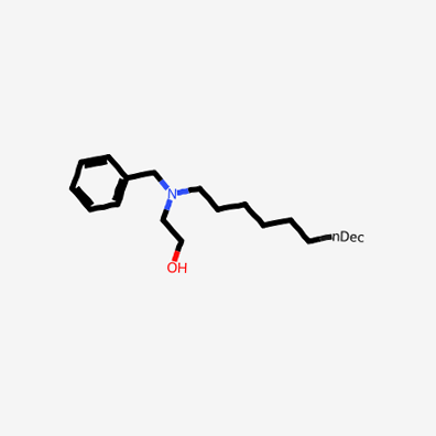 CCCCCCCCCCCCCCCCN(CCO)Cc1ccccc1